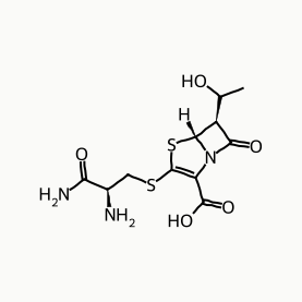 CC(O)[C@H]1C(=O)N2C(C(=O)O)=C(SC[C@@H](N)C(N)=O)S[C@H]12